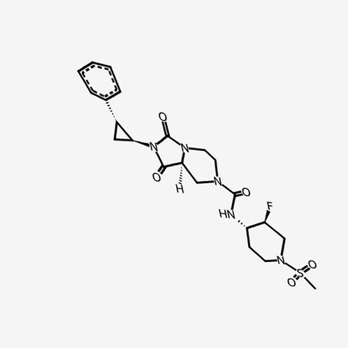 CS(=O)(=O)N1CC[C@H](NC(=O)N2CCN3C(=O)N([C@H]4C[C@@H]4c4ccccc4)C(=O)[C@@H]3C2)[C@@H](F)C1